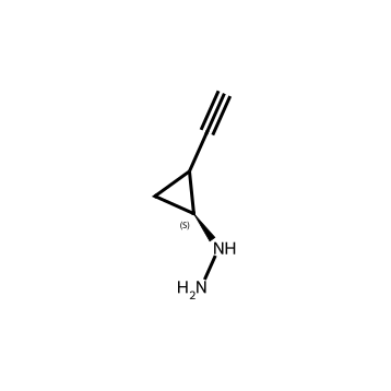 C#CC1C[C@@H]1NN